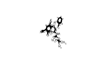 C[C@H](NC(=O)OC(C)(C)C)[C@@H](Cc1ccccc1)Nc1nc(Cl)c(C#N)cc1F